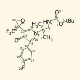 CC(C)(C)OC(=O)NCC(C)(C)n1cc(-c2ccc(F)cc2)c(=O)c(C2(C(F)(F)F)CO2)c1